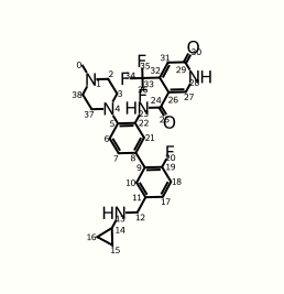 CN1CCN(c2ccc(-c3cc(CNC4CC4)ccc3F)cc2NC(=O)c2c[nH]c(=O)cc2C(F)(F)F)CC1